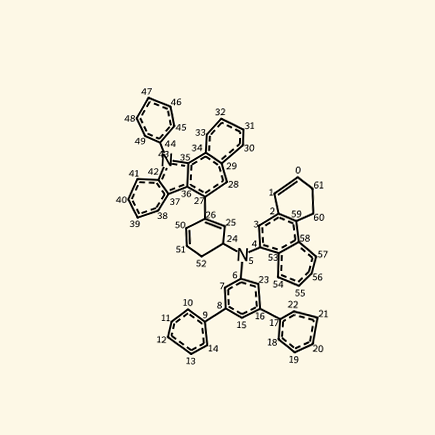 C1=Cc2cc(N(c3cc(-c4ccccc4)cc(-c4ccccc4)c3)C3C=C(c4cc5ccccc5c5c4c4ccccc4n5-c4ccccc4)C=CC3)c3ccccc3c2CC1